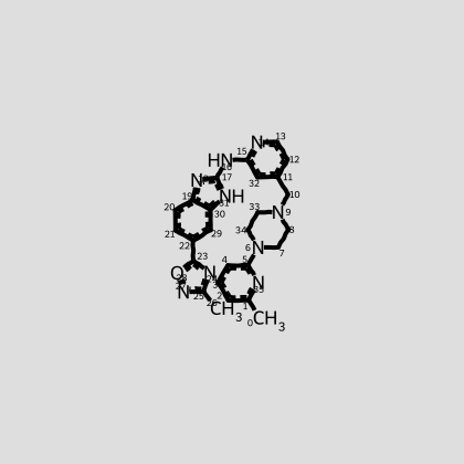 Cc1cccc(N2CCN(Cc3ccnc(Nc4nc5ccc(-c6nc(C)no6)cc5[nH]4)c3)CC2)n1